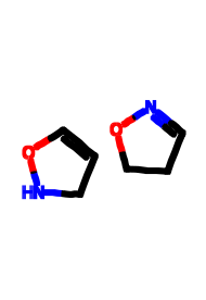 C1=CONC1.C1=NOCC1